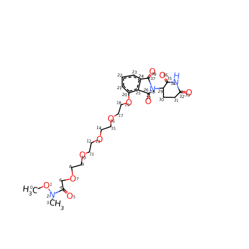 CON(C)C(=O)COCCOCCOCCOCCOc1cccc2c1C(=O)N(C1CCC(=O)NC1=O)C2=O